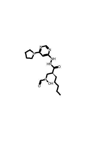 CCCCC[C@@H](CN(O)C=O)C(=O)NNc1cc(N2CCCC2)ncn1